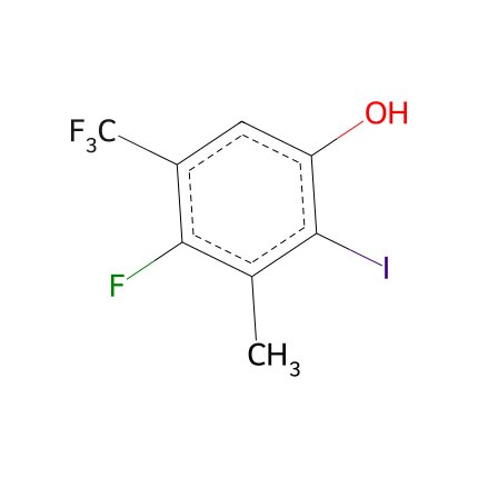 Cc1c(F)c(C(F)(F)F)cc(O)c1I